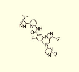 COc1nccc(N2Cc3cc(F)c(C(=O)Nc4cccc(-c5nncn5C(C)C)n4)cc3-n3cnc(C4CC4)c3C2)n1